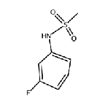 CS(=O)(=O)Nc1cccc(F)c1